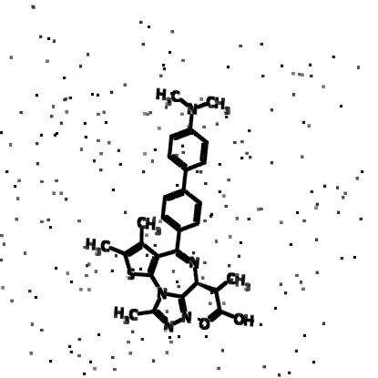 Cc1sc2c(c1C)C(c1ccc(-c3ccc(N(C)C)cc3)cc1)=N[C@@H](C(C)C(=O)O)c1nnc(C)n1-2